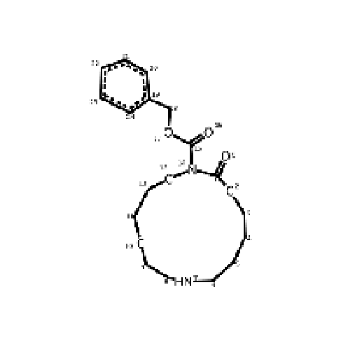 O=C1CCCCCNCCCCCCN1C(=O)OCc1ccccc1